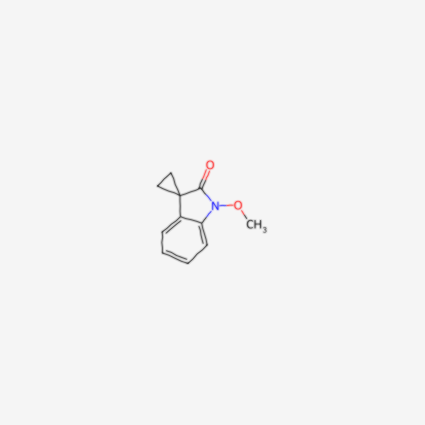 CON1C(=O)C2(CC2)c2ccccc21